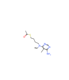 C=CN(CCCCSC(C)=O)c1ncnc(N)c1C